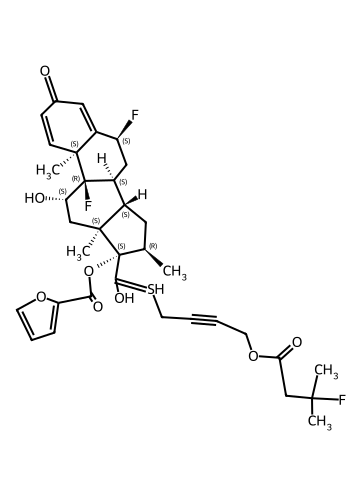 C[C@@H]1C[C@H]2[C@@H]3C[C@H](F)C4=CC(=O)C=C[C@]4(C)[C@@]3(F)[C@@H](O)C[C@]2(C)[C@]1(OC(=O)c1ccco1)C(O)=[SH]CC#CCOC(=O)CC(C)(C)F